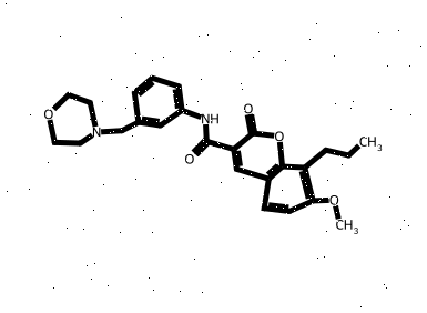 CCCc1c(OC)ccc2cc(C(=O)Nc3cccc(CN4CCOCC4)c3)c(=O)oc12